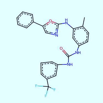 Cc1ccc(NC(=O)Nc2cccc(C(F)(F)F)c2)cc1Nc1ncc(-c2ccccc2)o1